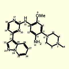 COc1cc(N2CCN(C)CC2)c(N)cc1Nc1nccc(-c2cnn3ccccc23)n1